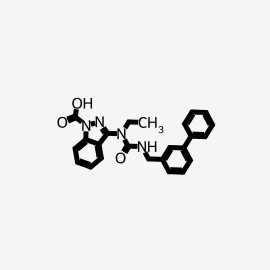 CCN(C(=O)NCc1cccc(-c2ccccc2)c1)c1nn(C(=O)O)c2ccccc12